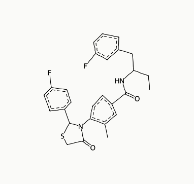 CCC(Cc1cccc(F)c1)NC(=O)c1ccc(N2C(=O)CSC2c2ccc(F)cc2)c(C)c1